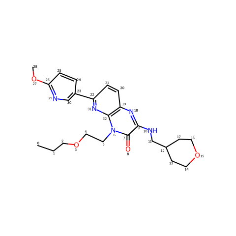 CCCOCCn1c(=O)c(NCC2CCOCC2)nc2ccc(-c3ccc(OC)nc3)nc21